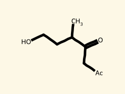 CC(=O)CC(=O)C(C)CCO